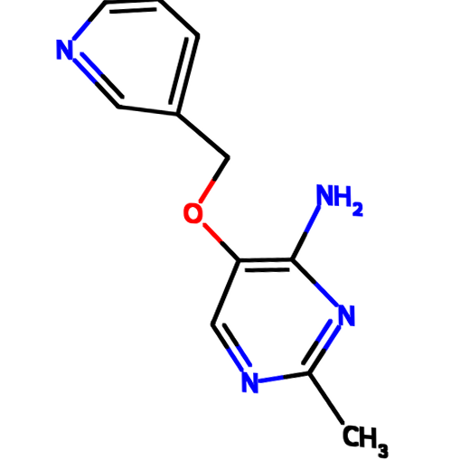 Cc1ncc(OCc2cccnc2)c(N)n1